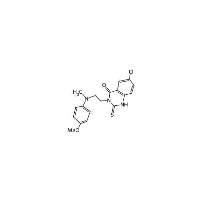 COc1ccc(N(C)CCn2c(=S)[nH]c3ccc(Cl)cc3c2=O)cc1